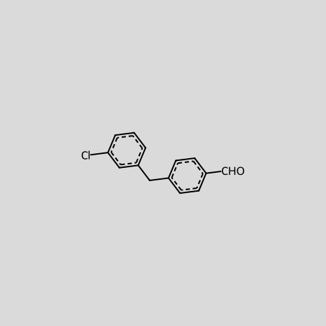 O=Cc1ccc(Cc2cccc(Cl)c2)cc1